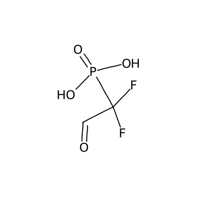 O=CC(F)(F)P(=O)(O)O